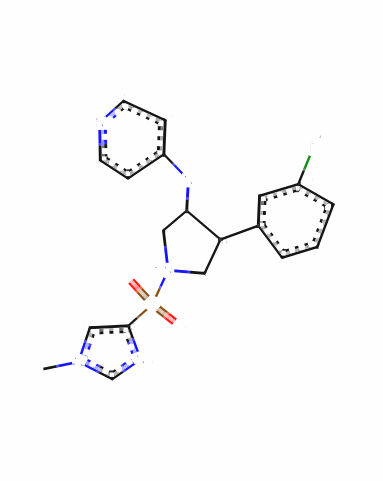 Cn1cnc(S(=O)(=O)N2CC(Nc3ccncc3)C(c3cccc(F)c3)C2)c1